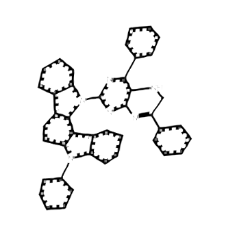 c1ccc(C2=Nc3nc(-n4c5ccccc5c5ccc6c(c7ccccc7n6-c6ccccc6)c54)nc(-c4ccccc4)c3NC2)cc1